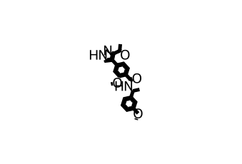 COc1cccc(C(C)NC(=O)c2ccc(-c3c[nH]nc3C(C)=O)cc2OC)c1